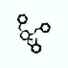 NC1(Cc2ccccc2Br)CCN(Cc2ccccc2)CC1OCc1ccccc1